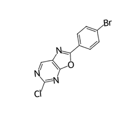 Clc1ncc2nc(-c3ccc(Br)cc3)oc2n1